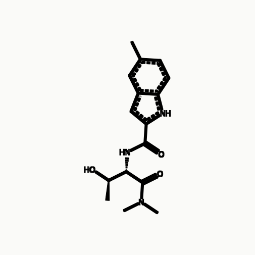 Cc1ccc2[nH]c(C(=O)N[C@H](C(=O)N(C)C)[C@@H](C)O)cc2c1